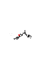 COc1cc(-c2sc(F)cc2NC(=O)O[C@H](C)c2ccccc2C)ccc1-c1ccc(C2CC2)cc1